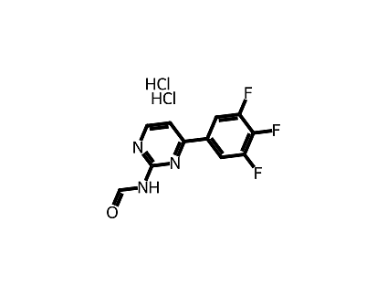 Cl.Cl.O=CNc1nccc(-c2cc(F)c(F)c(F)c2)n1